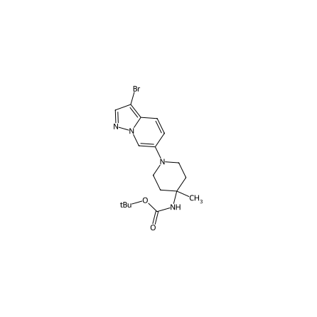 CC1(NC(=O)OC(C)(C)C)CCN(c2ccc3c(Br)cnn3c2)CC1